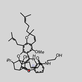 COc1c2c(c(CC=C(C)C)c3c1C1=C4C(Sc5ccccc5N1)C1CC(C(C)C)C4(O3)C(O)(C/C=C\C(=O)NCCO)C1=O)OC(C)(CCC=C(C)C)C=C2